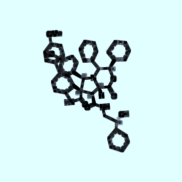 COc1ccc(-c2ccc3c(c2)[C@]2(C(=O)N3)[C@H](C(=O)NC[C@H](O)c3ccccc3)[C@H]3C(=O)O[C@H](c4ccccc4)C(c4ccccc4)N3[C@@H]2c2ccc(O)cc2)cc1